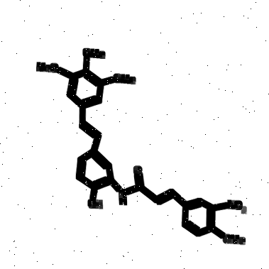 COc1ccc(/C=C/C(=O)Nc2cc(/C=C/c3cc(OC)c(OC)c(OC)c3)ccc2O)cc1[N+](=O)[O-]